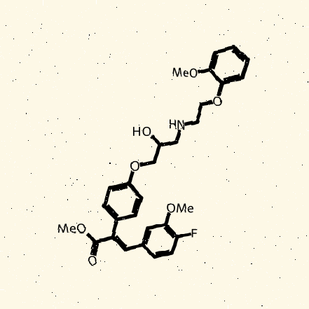 COC(=O)C(=Cc1ccc(F)c(OC)c1)c1ccc(OCC(O)CNCCOc2ccccc2OC)cc1